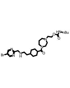 CCCCNC(=O)OCCN1CCCN(C(=O)C2CCC(CCNCc3ncc(Br)cn3)CC2)CC1